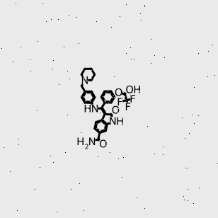 NC(=O)c1ccc2c(c1)NC(=O)C2=C(Nc1ccc(CN2CCCCC2)cc1)c1ccccc1.O=C(O)C(F)(F)F